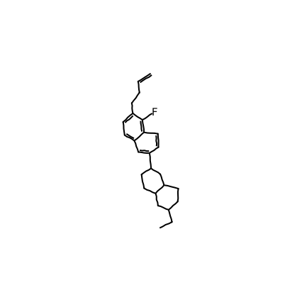 C=CCCc1ccc2cc(C3CCC4CC(CC)CCC4C3)ccc2c1F